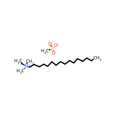 CCCCCCCCCCCCCCCC[N+](C)(C)CC.CS(=O)(=O)[O-]